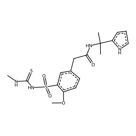 CNC(=S)NS(=O)(=O)c1cc(CC(=O)NC(C)(C)c2ccc[nH]2)ccc1OC